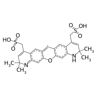 CC1(C)C=C(CS(=O)(=O)O)c2cc3c(cc2=N1)Oc1cc2c(cc1[C]=3)C(CS(=O)(=O)O)=CC(C)(C)N2